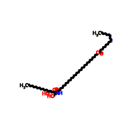 CCCCC/C=C\C/C=C\CCCCCCCC(=O)OCCCCCCCCCCCCCCCCCCCCCCCCCCCCCC(=O)N[C@@H](CO)[C@H](O)/C=C/[C@@H](O)CCCCCCCCCCCC